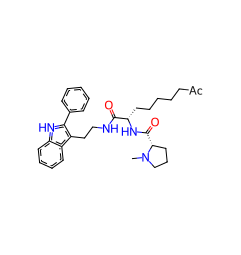 CC(=O)CCCCC[C@H](NC(=O)[C@@H]1CCCN1C)C(=O)NCCc1c(-c2ccccc2)[nH]c2ccccc12